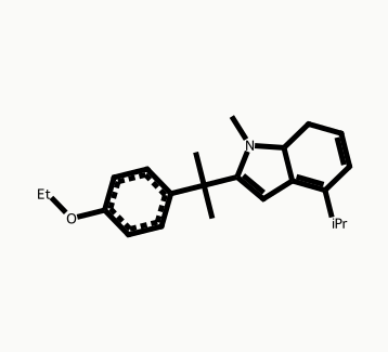 CCOc1ccc(C(C)(C)C2=CC3=C(C(C)C)C=CCC3N2C)cc1